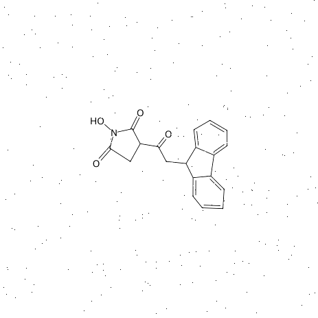 O=C(CC1c2ccccc2-c2ccccc21)C1CC(=O)N(O)C1=O